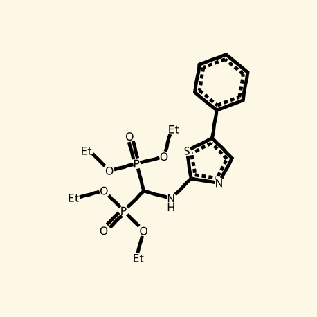 CCOP(=O)(OCC)C(Nc1ncc(-c2ccccc2)s1)P(=O)(OCC)OCC